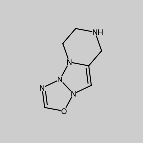 C1=NN2N(C=C3CNCCN32)O1